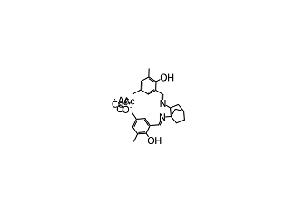 CC(=O)[O-].CC(=O)[O-].Cc1cc(C)c(O)c(C=NC2CC3CCC2(N=Cc2cc(C)cc(C)c2O)C3)c1.[Co+2]